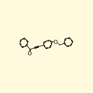 O=C(C#Cc1ccc(OCc2ccccc2)cc1)c1ccccc1